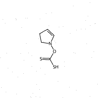 S=C(S)ON1C=CCC1